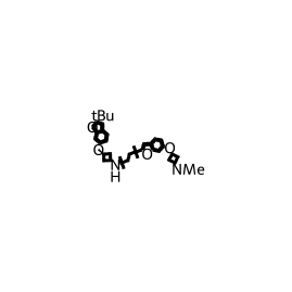 CN[C@H]1C[C@@H](Oc2ccc3cc(C(C)(C)CCC(C)(C)N[C@H]4C[C@H](Oc5ccc6cc(C(C)(C)C)oc6c5)C4)oc3c2)C1